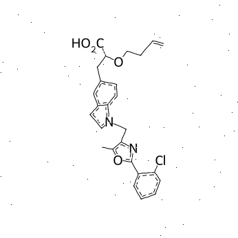 C=CCCOC(Cc1ccc2c(ccn2Cc2nc(-c3ccccc3Cl)oc2C)c1)C(=O)O